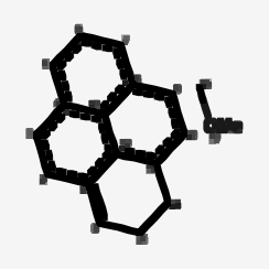 C1=c2ccc3cccc4ccc(c2c43)CC1.COC